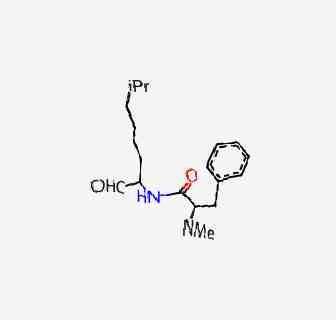 CN[C@H](Cc1ccccc1)C(=O)NC(C=O)CCCCC(C)C